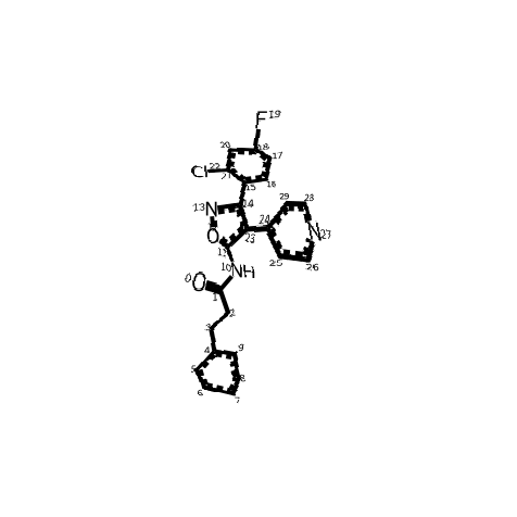 O=C(CCc1ccccc1)Nc1onc(-c2ccc(F)cc2Cl)c1-c1ccncc1